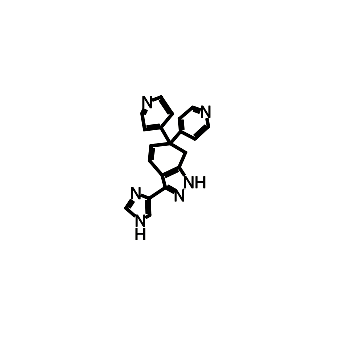 C1=CC(c2ccncc2)(c2ccncc2)Cc2[nH]nc(-c3c[nH]cn3)c21